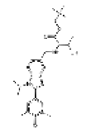 Cc1cc(-c2nc3cc(CNC(C(=O)OCC(C)(C)C)C(C)O)ccc3n2C(C)C)cn(C)c1=O